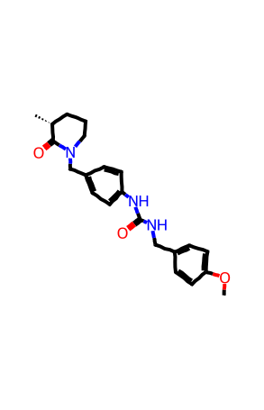 COc1ccc(CNC(=O)Nc2ccc(CN3CCC[C@@H](C)C3=O)cc2)cc1